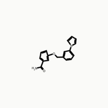 NC(=O)c1cccc(OCc2cccc(-n3cccc3)c2)c1